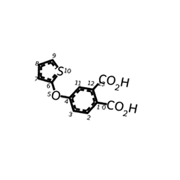 O=C(O)c1ccc(Oc2cccs2)cc1C(=O)O